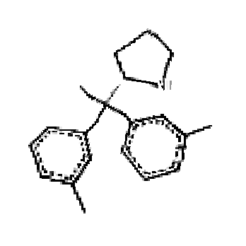 Cc1cccc(C(C)(c2cccc(C)c2)[C@@H]2CCCN2)c1